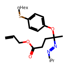 C=CCOC(=O)CCC(C)(N=NC(C)C)Oc1ccc(SCCCCCC)cc1